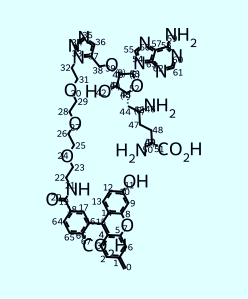 C=c1ccc2c(c1)Oc1cc(O)ccc1C=2c1cc(C(=O)NCCOCCOCCOCCn2nncc2CO[C@@H]2[C@H](O)[C@@H](C[C@@H](N)CC[C@H](N)C(=O)O)O[C@H]2n2cnc3c(N)ncnc32)ccc1C(=O)O